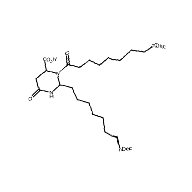 CCCCCCCCCCCCCCCCCC(=O)N1C(CCCCCCCCCCCCCCCCC)NC(=O)CC1C(=O)O